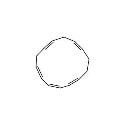 [C]1=CCCC=CC=CC=CCC=CC1